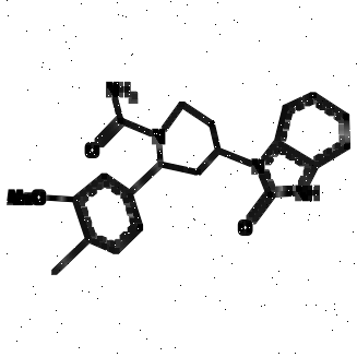 COc1cc(C2CC(n3c(=O)[nH]c4ccccc43)CCN2C(N)=O)ccc1C